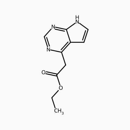 CCOC(=O)Cc1ncnc2[nH]ccc12